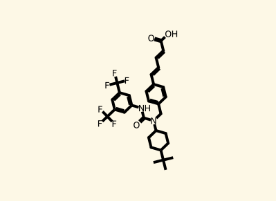 CC(C)(C)C1CCC(N(Cc2ccc(C=CC=CC(=O)O)cc2)C(=O)Nc2cc(C(F)(F)F)cc(C(F)(F)F)c2)CC1